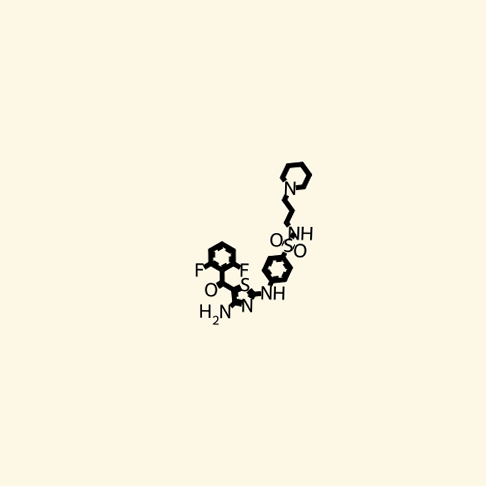 Nc1nc(Nc2ccc(S(=O)(=O)NCCCN3CCCCC3)cc2)sc1C(=O)c1c(F)cccc1F